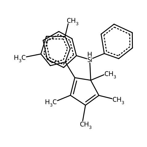 CC1=C(C)C(C)([SiH](c2ccccc2)c2ccccc2)C(c2cc(C)cc(C)c2)=C1C